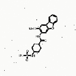 COc1cc2c(cc1NC(=O)C1CCC(NS(=O)(=O)C(C)(C)C)CC1)oc1ccccc12